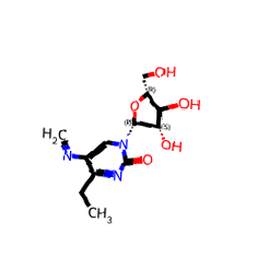 C=Nc1cn([C@@H]2O[C@H](CO)C(O)[C@@H]2O)c(=O)nc1CC